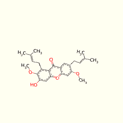 COc1cc2oc3cc(O)c(OC)c(CC=C(C)C)c3c(=O)c2cc1CC=C(C)C